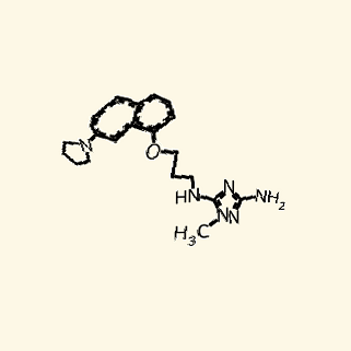 Cn1nc(N)nc1NCCCOc1cccc2ccc(N3CCCC3)cc12